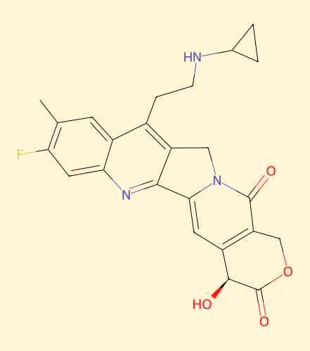 Cc1cc2c(CCNC3CC3)c3c(nc2cc1F)-c1cc2c(c(=O)n1C3)COC(=O)[C@H]2O